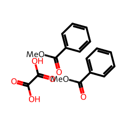 COC(=O)c1ccccc1.COC(=O)c1ccccc1.O=C(O)C(=O)O